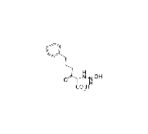 O=C(O)C(NNO)C(=O)CCCc1ccccc1